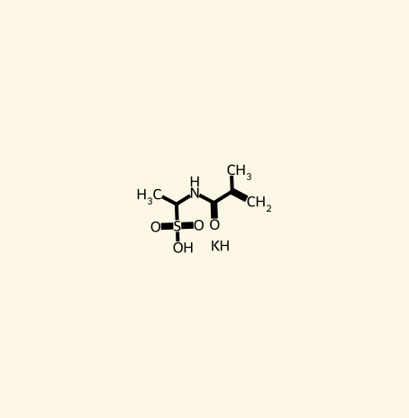 C=C(C)C(=O)NC(C)S(=O)(=O)O.[KH]